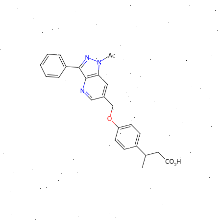 CC(=O)n1nc(-c2ccccc2)c2ncc(COc3ccc(C(C)CC(=O)O)cc3)cc21